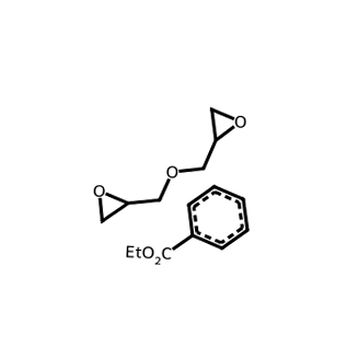 C(OCC1CO1)C1CO1.CCOC(=O)c1ccccc1